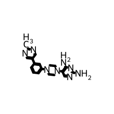 Cc1ncc(-c2cccc(N3CCN(c4cnc(N)nc4N)CC3)c2)cn1